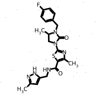 Cc1cc(CNC(=O)c2sc(N3CC(C)N(Cc4ccc(F)cc4)C3=O)nc2C)[nH]n1